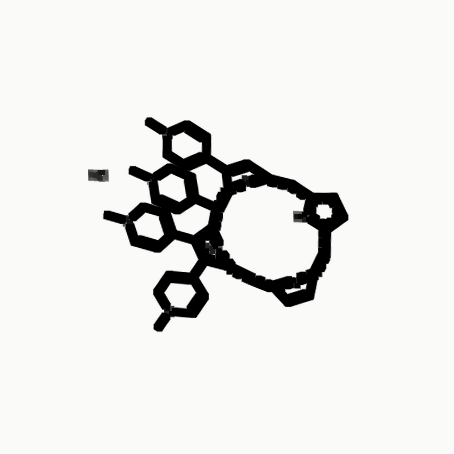 CN1C=CC(C2=Cc3cc4ccc(cc5nc(cc6[nH]c(c(C7=CCN(C)C=C7)c2n3)c(C2=CCN(C)C=C2)c6C2=CCN(C)C=C2)C=C5)[nH]4)=CC1.Cl